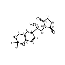 CC1(C)OCc2cc([C@@H](O)CN3C(=O)CCC3=O)ccc2O1